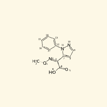 CON=C(C(=O)O)c1ccnn1-c1ccccc1